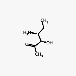 CC[C@H](N)[C@@H](O)C(C)=O